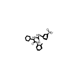 Cc1ccccc1NC(=O)C(NC(=S)Nc1cccc([N+](=O)[O-])c1)C1CCCCC1